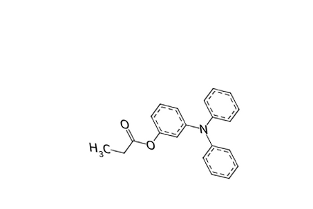 CCC(=O)Oc1cccc(N(c2ccccc2)c2ccccc2)c1